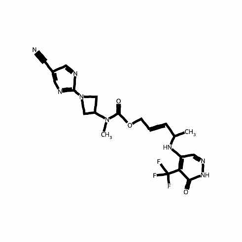 CC(/C=C/COC(=O)N(C)C1CN(c2ncc(C#N)cn2)C1)Nc1cn[nH]c(=O)c1C(F)(F)F